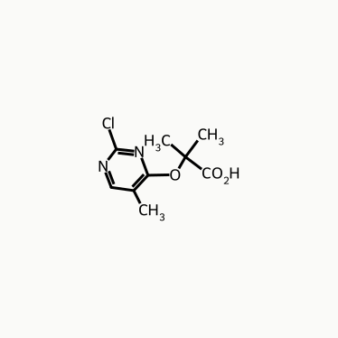 Cc1cnc(Cl)nc1OC(C)(C)C(=O)O